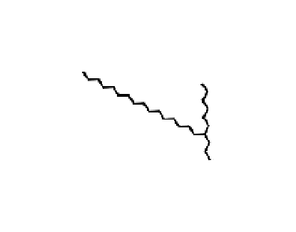 [CH2]CCC(CCCCCC)CCCCCCCCCCCCCCCC